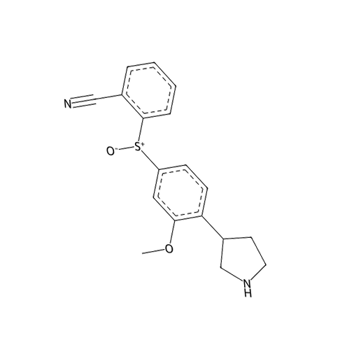 COc1cc([S+]([O-])c2ccccc2C#N)ccc1C1CCNC1